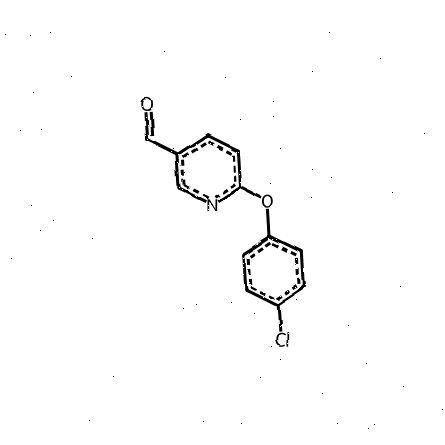 O=Cc1ccc(Oc2ccc(Cl)cc2)nc1